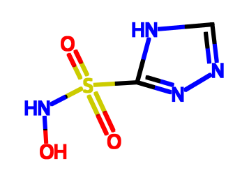 O=S(=O)(NO)c1nnc[nH]1